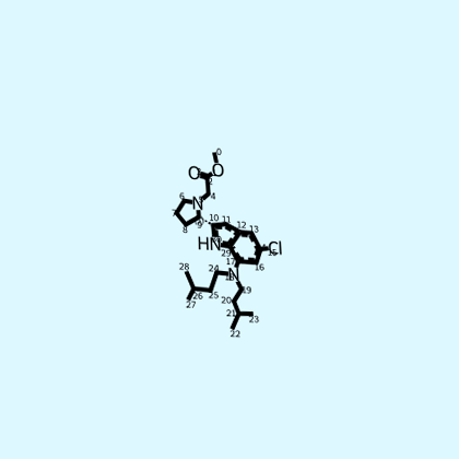 COC(=O)CN1CCC[C@H]1c1cc2cc(Cl)cc(N(CCC(C)C)CCC(C)C)c2[nH]1